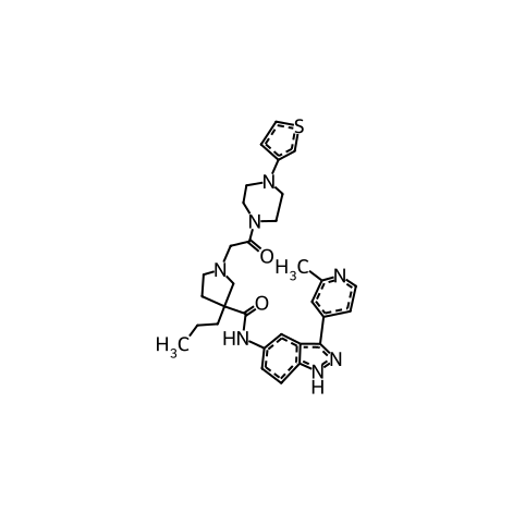 CCCC1(C(=O)Nc2ccc3[nH]nc(-c4ccnc(C)c4)c3c2)CCN(CC(=O)N2CCN(c3ccsc3)CC2)C1